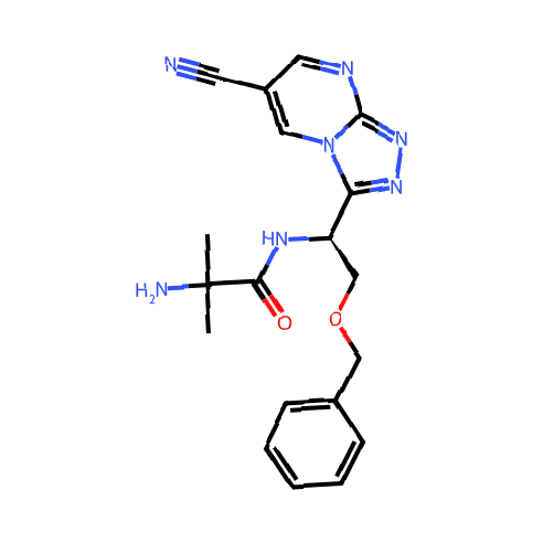 CC(C)(N)C(=O)N[C@H](COCc1ccccc1)c1nnc2ncc(C#N)cn12